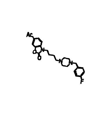 CC(=O)c1ccc2c(c1)oc(=O)n2CCCCN1CCN(Cc2ccc(F)cc2)CC1